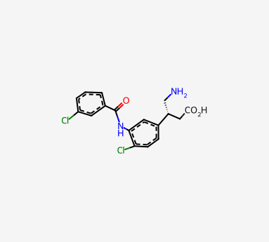 NC[C@H](CC(=O)O)c1ccc(Cl)c(NC(=O)c2cccc(Cl)c2)c1